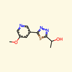 COc1cncc(-c2nnc(C(C)O)s2)c1